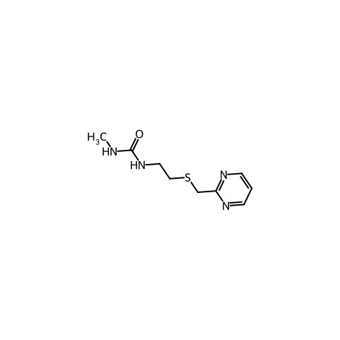 CNC(=O)NCCSCc1ncccn1